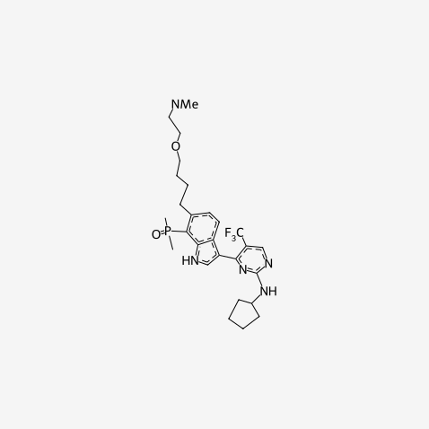 CNCCOCCCCc1ccc2c(-c3nc(NC4CCCC4)ncc3C(F)(F)F)c[nH]c2c1P(C)(C)=O